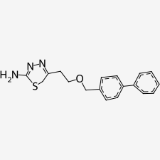 NC1=NN=C(CCOCc2ccc(-c3ccccc3)cc2)CS1